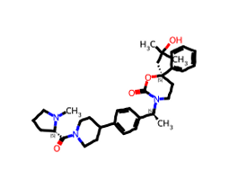 C[C@@H](c1ccc(C2CCN(C(=O)[C@@H]3CCCN3C)CC2)cc1)N1CC[C@](CC(C)(C)O)(c2ccccc2)OC1=O